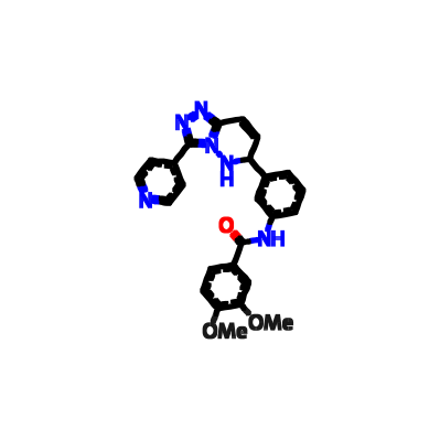 COc1ccc(C(=O)Nc2cccc(C3C=Cc4nnc(-c5ccncc5)n4N3)c2)cc1OC